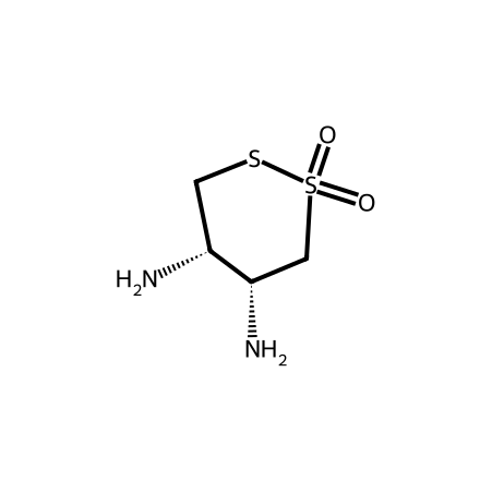 N[C@@H]1CSS(=O)(=O)C[C@@H]1N